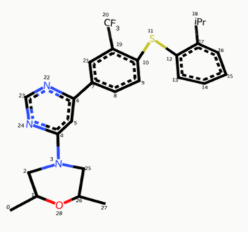 CC1CN(c2cc(-c3ccc(Sc4ccccc4C(C)C)c(C(F)(F)F)c3)ncn2)CC(C)O1